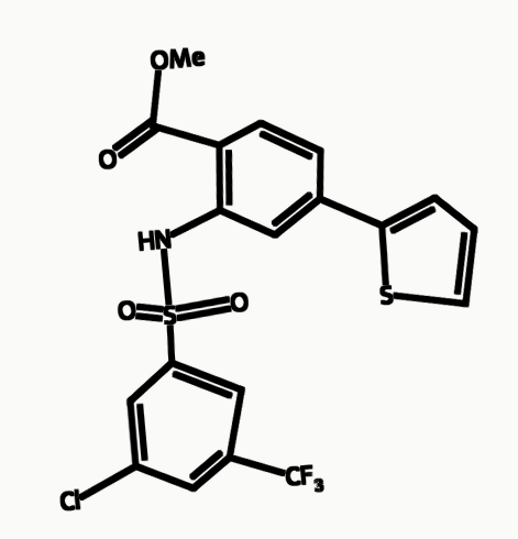 COC(=O)c1ccc(-c2cccs2)cc1NS(=O)(=O)c1cc(Cl)cc(C(F)(F)F)c1